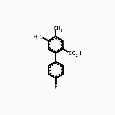 Cc1cc(C(=O)O)c(-c2ccc(F)cc2)cc1C